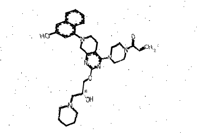 C=CC(=O)N1CCN(c2nc(OC[C@H](O)CN3CCCCC3)nc3c2CCN(c2cc(O)cc4ccccc24)C3)CC1